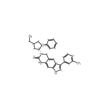 Cc1cc(-c2n[nH]c3cc4c(cc23)CN([C@@H]2CC(CC#N)C[C@H]2c2ccccc2)C(=O)N4)ccn1